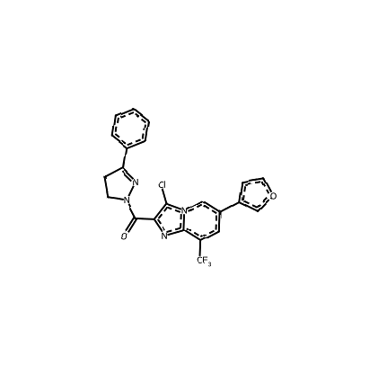 O=C(c1nc2c(C(F)(F)F)cc(-c3ccoc3)cn2c1Cl)N1CCC(c2ccccc2)=N1